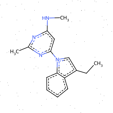 CCc1cn(-c2cc(NC)nc(C)n2)c2ccccc12